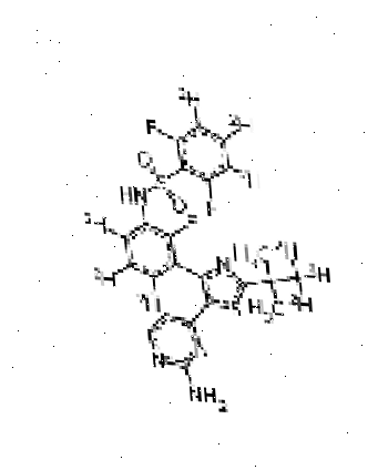 [2H]c1c([2H])c(F)c(S(=O)(=O)Nc2c([2H])c([2H])c([2H])c(-c3nc(C(C)(C)C([2H])([2H])[2H])sc3-c3ccnc(N)n3)c2F)c(F)c1[2H]